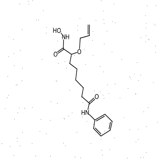 C=CCOC(CCCCCC(=O)Nc1ccccc1)C(=O)NO